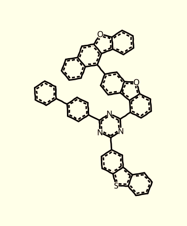 c1ccc(-c2ccc(-c3nc(-c4ccc5sc6ccccc6c5c4)nc(-c4cccc5oc6cc(-c7c8ccccc8cc8oc9ccccc9c78)ccc6c45)n3)cc2)cc1